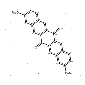 COc1ccc2cc3c(cc2c1)C(=O)c1cc2cc(OC)ccc2cc1C3=O